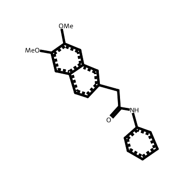 COc1cc2ccc(CC(=O)Nc3ccccc3)cc2cc1OC